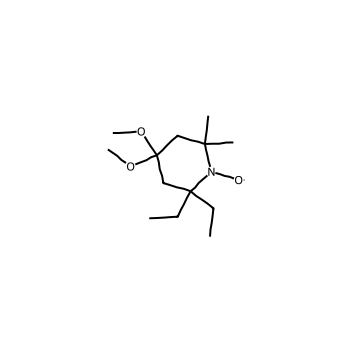 CCC1(CC)CC(OC)(OC)CC(C)(C)N1[O]